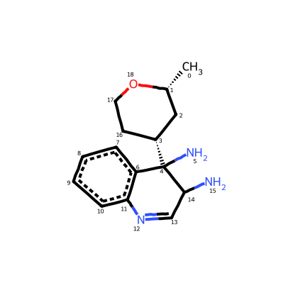 C[C@@H]1C[C@H](C2(N)c3ccccc3N=CC2N)CCO1